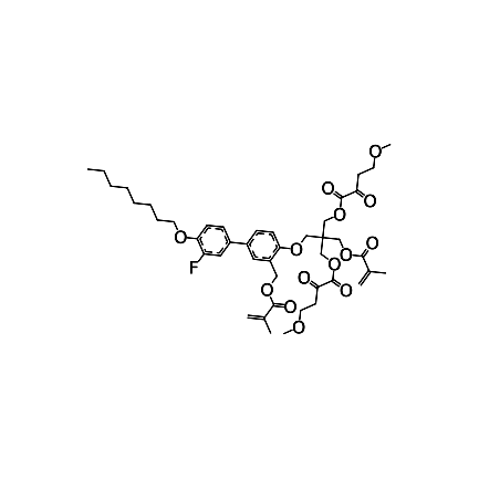 C=C(C)C(=O)OCc1cc(-c2ccc(OCCCCCCCC)c(F)c2)ccc1OCC(COC(=O)C(=C)C)(COC(=O)C(=O)CCOC)COC(=O)C(=O)CCOC